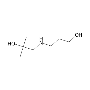 CC(C)(O)CNCCCO